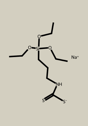 CCO[Si](CCCNC(=S)[S-])(OCC)OCC.[Na+]